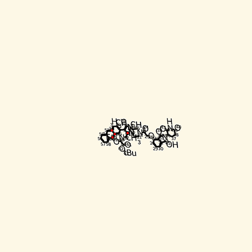 CCc1ccc(C)c(-c2c(C)nn(C)c2C)c1N(CCN1CCN(C(=O)COc2cccc3c2C(=O)N(C2CCC(=O)NC2=O)C3O)CC1)C(Oc1cccc2ccccc12)C(=O)OC(C)(C)C